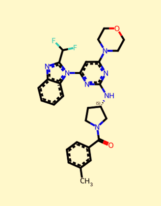 Cc1cccc(C(=O)N2CC[C@H](Nc3nc(N4CCOCC4)cc(-n4c(C(F)F)nc5ccccc54)n3)C2)c1